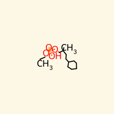 CCCOP(=O)(O)OCC(C)CCC1CCCCC1